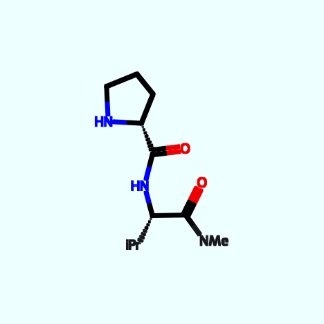 CNC(=O)[C@@H](NC(=O)[C@H]1CCCN1)C(C)C